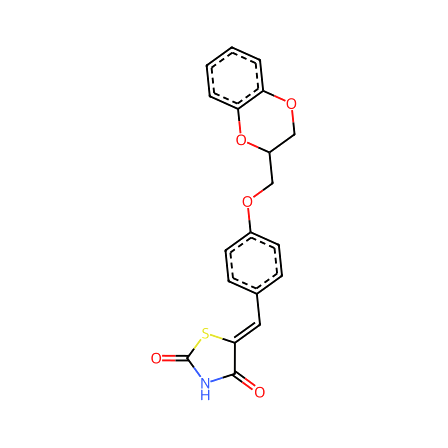 O=C1NC(=O)C(=Cc2ccc(OCC3COc4ccccc4O3)cc2)S1